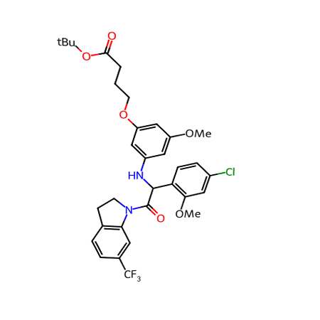 COc1cc(NC(C(=O)N2CCc3ccc(C(F)(F)F)cc32)c2ccc(Cl)cc2OC)cc(OCCCC(=O)OC(C)(C)C)c1